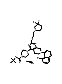 CC(C)(C)OC(=O)N1CCN(c2nc(OCCN3CCCC(F)(F)C3)nc3c2CCN(c2cccc4cccc(Cl)c24)C3)C[C@@H]1CC#N